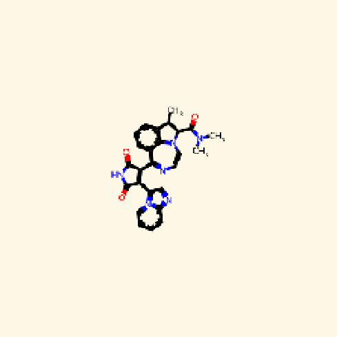 CC1c2cccc3c2N(C=CN=C3C2=C(c3cnc4ccccn34)C(=O)NC2=O)C1C(=O)N(C)C